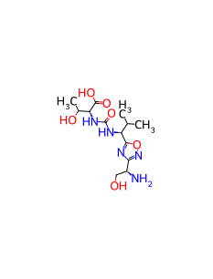 CC(O)[C@H](NC(=O)N[C@H](c1nc([C@@H](N)CO)no1)C(C)C)C(=O)O